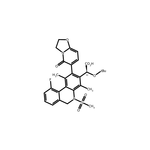 Cc1c(-c2ccc3n(c2=O)CCO3)c([C@H](OC(C)(C)C)C(=O)O)c(C)c2c1-c1c(F)cccc1CN2S(C)(=O)=O